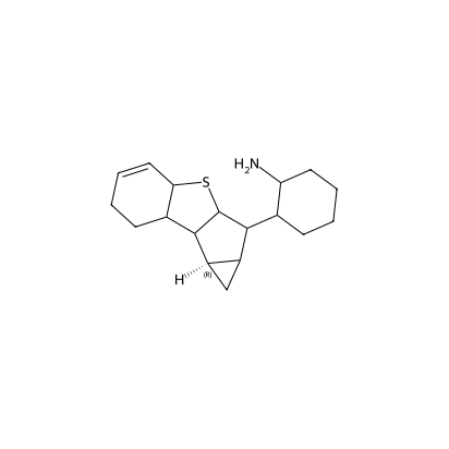 NC1CCCCC1C1C2SC3C=CCCC3C2[C@@H]2CC12